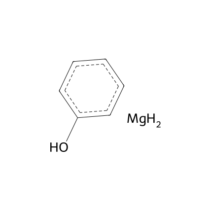 Oc1ccccc1.[MgH2]